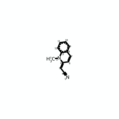 CN1/C(=C/C#N)C=Cc2ccccc21